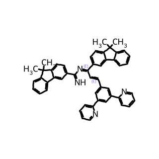 CC1(C)c2ccccc2-c2cc(C(=N)/N=C(\C=C\c3cc(-c4ccccn4)cc(-c4ccccn4)c3)c3ccc4c(c3)-c3ccccc3C4(C)C)ccc21